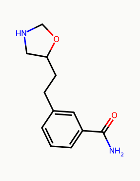 NC(=O)c1cccc(CCC2CNCO2)c1